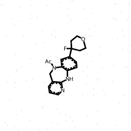 CC(=O)N1Cc2cccnc2Nc2ccc(C3(F)CCOCC3)cc21